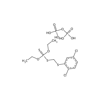 CCOP(=S)(OCC)SCSc1cc(Cl)ccc1Cl.O=P(O)(O)OP(=O)(O)O